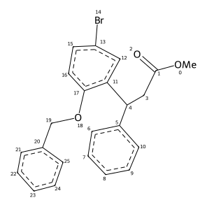 COC(=O)CC(c1ccccc1)c1cc(Br)ccc1OCc1ccccc1